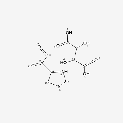 O=C(O)C(O)C(O)C(=O)O.O=CC(=O)C1CSCN1